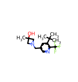 CC1(O)CN(Cc2cnc(C(F)(F)F)c(C(C)(C)C)c2)C1